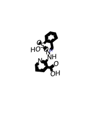 O=C(O)c1cccnc1N/N=C/c1ccccc1S(=O)(=O)O